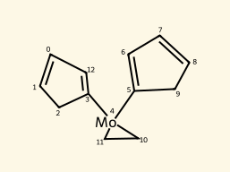 C1=CC[C]([Mo]2([C]3=CC=CC3)[CH2][CH2]2)=C1